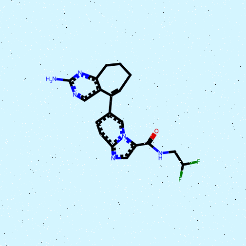 Nc1ncc2c(n1)CCCC=C2c1ccc2ncc(C(=O)NCC(F)F)n2c1